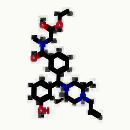 C=CCN1C[C@H](C)N(C(c2cccc(O)c2)c2cccc(C(=O)N(C)CC(=O)OCC)c2)C[C@H]1C